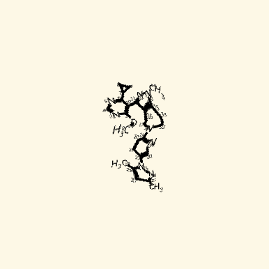 COc1ncnc(C2CC2)c1-c1nn(C)c2c1CN(c1ccc(-n3nc(C)cc3C)cn1)CC2